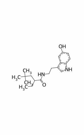 CCC(CC(C)(C)C)C(=O)NCCc1c[nH]c2ccc(O)cc12